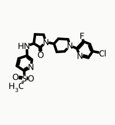 CS(=O)(=O)c1ccc(NC2CCN(C3CCN(c4ncc(Cl)cc4F)CC3)C2=O)cn1